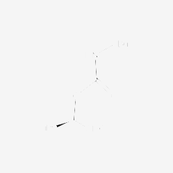 CC(C)[C@H](C=O)OC(=O)NC(C)(C)C